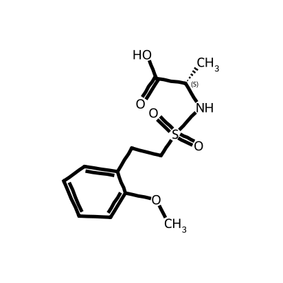 COc1ccccc1CCS(=O)(=O)N[C@@H](C)C(=O)O